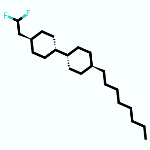 CCCCCCCC[C@H]1CC[C@H]([C@H]2CC[C@H](CC(F)F)CC2)CC1